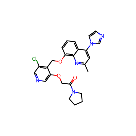 Cc1cc(-n2ccnc2)c2cccc(OCc3c(Cl)cncc3OCC(=O)N3CCCC3)c2n1